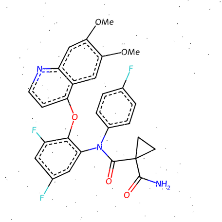 COc1cc2nccc(Oc3c(F)cc(F)cc3N(C(=O)C3(C(N)=O)CC3)c3ccc(F)cc3)c2cc1OC